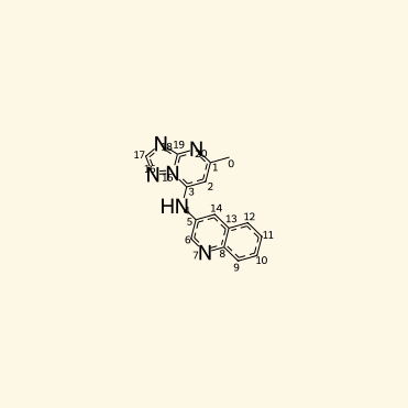 Cc1cc(Nc2cnc3ccccc3c2)n2ncnc2n1